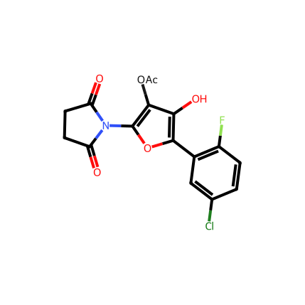 CC(=O)Oc1c(N2C(=O)CCC2=O)oc(-c2cc(Cl)ccc2F)c1O